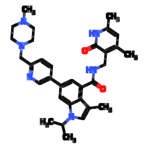 Cc1cc(C)c(CNC(=O)c2cc(-c3ccc(CN4CCN(C)CC4)nc3)cc3c2c(C)cn3C(C)C)c(=O)[nH]1